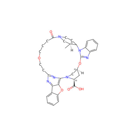 C[C@H]1CN2CCC1n1c(nc3ccccc31)O[C@H]1C[C@@H](C(=O)O)N(C1)c1nc(nc3c1oc1ccccc13)CCOCCCC2=O